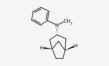 CN(c1ccccc1)[C@@H]1C[C@@H]2CC[C@@H](C2)C1